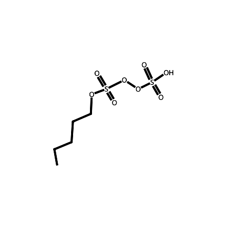 CCCCCOS(=O)(=O)OOS(=O)(=O)O